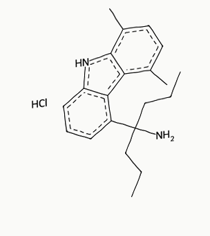 CCCC(N)(CCC)c1cccc2[nH]c3c(C)ccc(C)c3c12.Cl